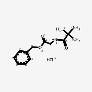 CC(C)(N)C(=O)NCC(=O)OCc1ccccc1.Cl